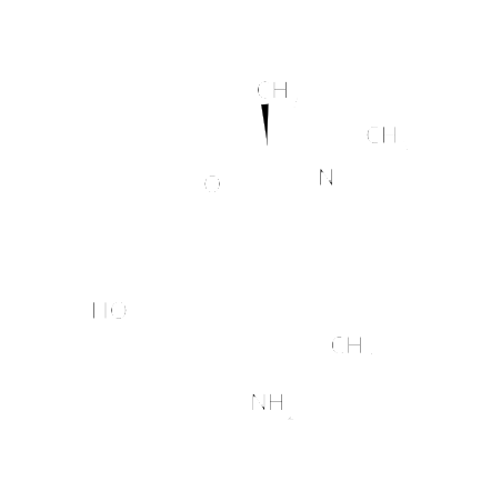 C[C@@H]1OCC(/C(N)=C\O)[C@@H](C)CN1C